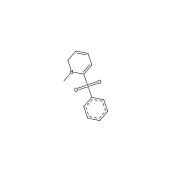 CB1CC=CC=C1S(=O)(=O)c1ccccc1